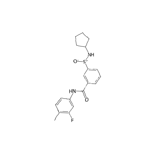 Cc1ccc(NC(=O)c2cccc([S+]([O-])NC3CCCC3)c2)cc1F